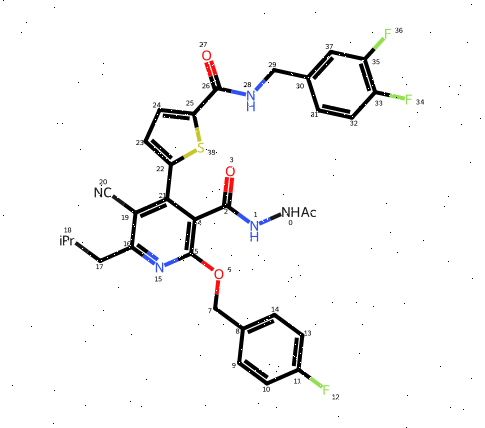 CC(=O)NNC(=O)c1c(OCc2ccc(F)cc2)nc(CC(C)C)c(C#N)c1-c1ccc(C(=O)NCc2ccc(F)c(F)c2)s1